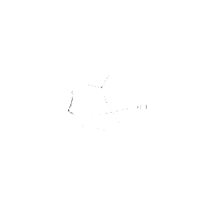 C=CC=O.OC(F)(C(F)F)C(F)(F)F